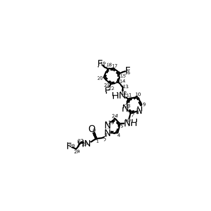 O=C(Cn1cc(Nc2nccc(NCc3c(F)cc(F)cc3F)n2)cn1)NCCF